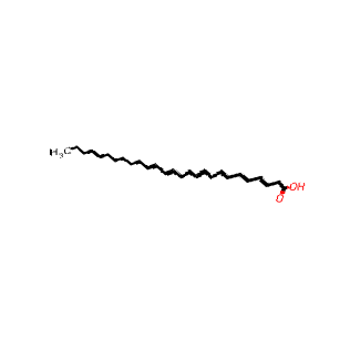 CCCCCCCCCCCCCCCCC=CCCCCCCCCC(=O)O